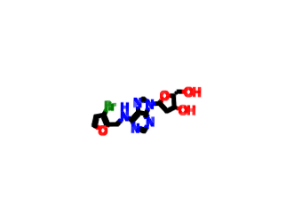 OC[C@H]1OC(n2cnc3c(NCc4occc4Br)ncnc32)C[C@@H]1O